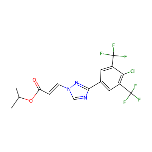 CC(C)OC(=O)/C=C/n1cnc(-c2cc(C(F)(F)F)c(Cl)c(C(F)(F)F)c2)n1